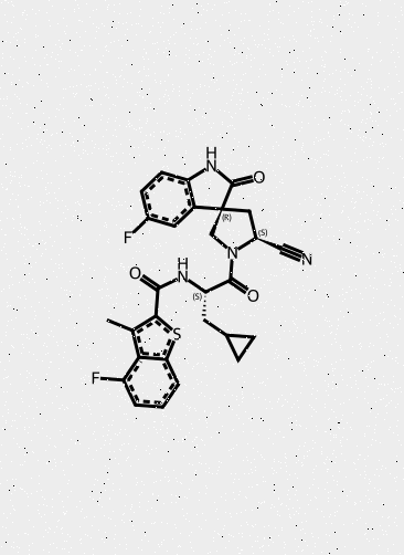 Cc1c(C(=O)N[C@@H](CC2CC2)C(=O)N2C[C@]3(C[C@H]2C#N)C(=O)Nc2ccc(F)cc23)sc2cccc(F)c12